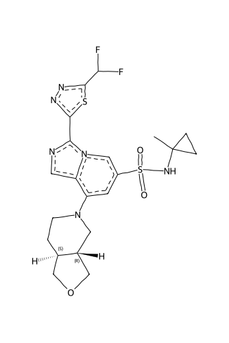 CC1(NS(=O)(=O)c2cc(N3CC[C@@H]4COC[C@H]4C3)c3cnc(-c4nnc(C(F)F)s4)n3c2)CC1